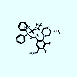 C[C@@H]1CN(c2c(CO[Si](c3ccccc3)(c3ccccc3)C(C)(C)C)cc(CO)c(F)c2F)C[C@H](C)O1